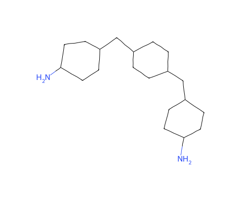 NC1CCC(CC2CCC(CC3CCC(N)CC3)CC2)CC1